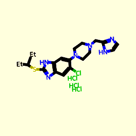 CCC(CC)Sc1nc2cc(Cl)c(N3CCN(Cc4ncc[nH]4)CC3)cc2[nH]1.Cl.Cl.Cl